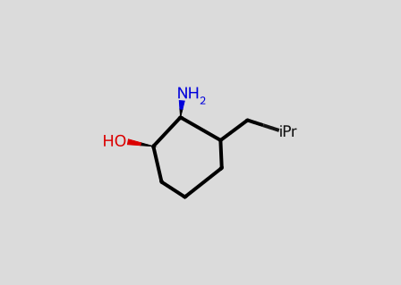 CC(C)CC1CCC[C@@H](O)[C@H]1N